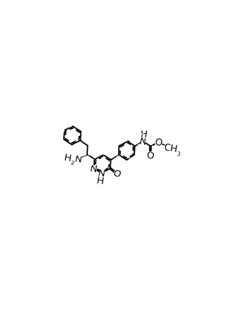 COC(=O)Nc1ccc(-c2cc([C@@H](N)Cc3ccccc3)n[nH]c2=O)cc1